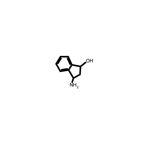 NC1CC(O)c2ccccc21